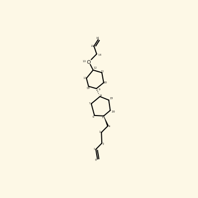 C=CCCC[C@H]1CC[C@H](C2CCC(OCC=C)CC2)CC1